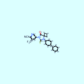 N#Cc1ncc(N2C(=O)C3(CCC3)N(c3ccc(-c4ccccc4)cc3)C2=S)cc1C(F)(F)F